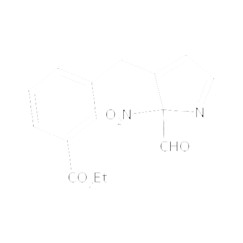 CCOC(=O)c1cccc(CC2=CC=NC2(C=O)[N+](=O)[O-])c1